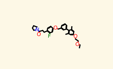 CCOCCOc1cc(C)c(-c2cccc(COc3ccc(CCC(=O)N4CCCC4)c(F)c3)c2)c(C)c1